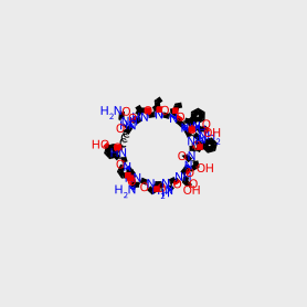 CCCC[C@H]1C(=O)N(C)[C@@H](CCCC)C(=O)N[C@@H](CC(C)C)C(=O)N[C@H](C(=O)NCC(N)=O)CCCC(=O)N[C@@H](Cc2ccc(O)cc2)C(=O)N2CCCC[C@H]2C(=O)N[C@@H](CC(N)=O)C(=O)N2CCC[C@H]2C(=O)N[C@@H](CN)C(=O)N[C@@H](CCC(=O)O)C(=O)N2C[C@H](O)C[C@@]23C(=O)N3[C@@H](Cc2c[nH]c3ccccc23)C(=O)N[C@@H](CCN)C(=O)N[C@@H](Cc2cn(CC(=O)O)c3ccccc23)C(=O)N1C